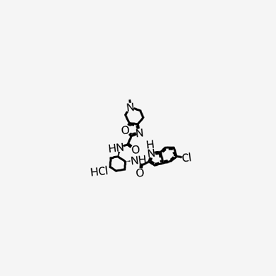 CN1CCc2nc(C(=O)N[C@@H]3CCCC[C@H]3NC(=O)c3cc4cc(Cl)ccc4[nH]3)oc2C1.Cl